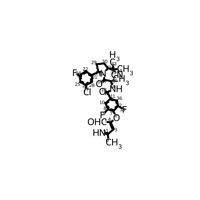 CC(=N)/C=C(\C=O)Oc1c(F)cc(C(=O)N[C@H](C)C(=O)N2C(c3cc(F)cc(Cl)c3)CCC2C(C)(C)C#N)cc1F